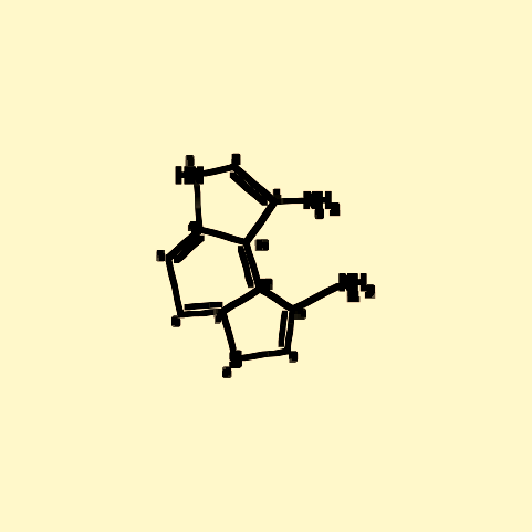 Nc1c[nH]c2ccc3scc(N)c3c12